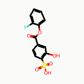 O=C(Oc1ccccc1F)c1ccc(S(=O)(=O)O)c(O)c1